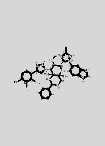 CO[C@@H]1[C@@H](n2cc(-c3ccc(Br)c(F)c3F)nn2)[C@H]2OC(c3ccccc3)OC[C@H]2O[C@H]1c1nc(C)nn1-c1ccc2ncsc2c1